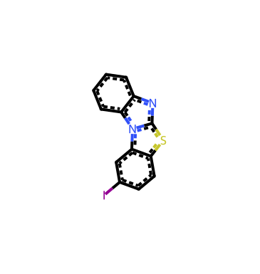 Ic1ccc2sc3nc4ccccc4n3c2c1